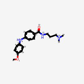 COc1ccc(Nc2ccc(C(=O)NCCCN(C)C)cc2)cc1